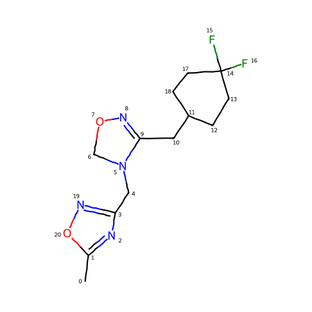 Cc1nc(CN2CON=C2CC2CCC(F)(F)CC2)no1